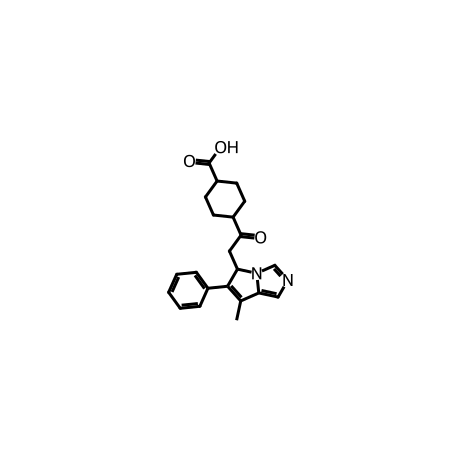 CC1=C(c2ccccc2)C(CC(=O)C2CCC(C(=O)O)CC2)n2cncc21